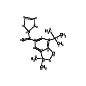 CC(C)(C)c1cc(C(=O)N2CC=CS2)cc2c1OCC2(C)C